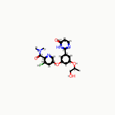 CC(CO)Oc1cc(Oc2cnc(C(=O)N(C)C)c(F)c2)cc(-c2nccc(=O)[nH]2)c1